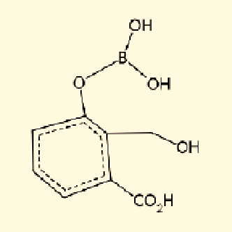 O=C(O)c1cccc(OB(O)O)c1CO